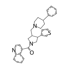 O=C(c1ccnc2ccccc12)N1CC(CN2CCC(c3ccccc3)CC2)C(c2ccsc2)C1